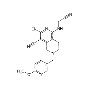 COc1ccc(CN2CCc3c(NCC#N)nc(Cl)c(C#N)c3C2)cn1